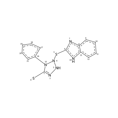 [S]C1=NNN(Sc2nc3ccccc3[nH]2)N1c1ccccc1